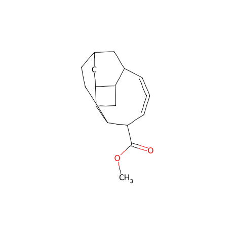 COC(=O)C1C=C=CC2CC3CCC1C1CC2C1C3